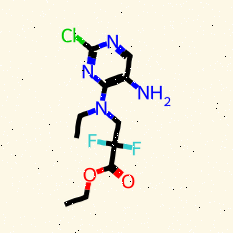 CCOC(=O)C(F)(F)CN(CC)c1nc(Cl)ncc1N